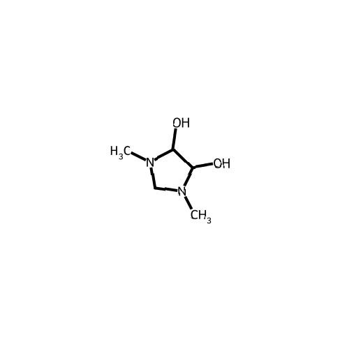 CN1CN(C)C(O)C1O